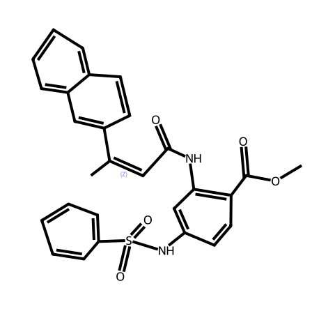 COC(=O)c1ccc(NS(=O)(=O)c2ccccc2)cc1NC(=O)/C=C(/C)c1ccc2ccccc2c1